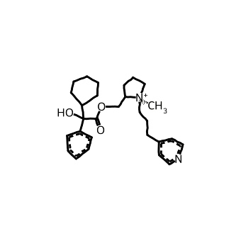 C[N@@+]1(CCCc2ccncc2)CCCC1COC(=O)C(O)(c1ccccc1)C1CCCCC1